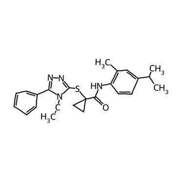 CCn1c(SC2(C(=O)Nc3ccc(C(C)C)cc3C)CC2)nnc1-c1ccccc1